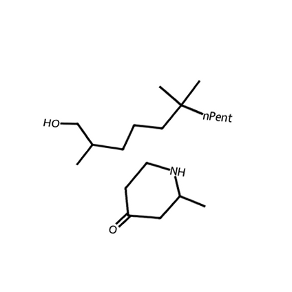 CC1CC(=O)CCN1.CCCCCC(C)(C)CCCC(C)CO